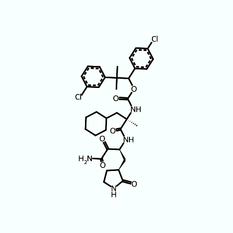 CC(C)(c1cccc(Cl)c1)C(OC(=O)N[C@](C)(CC1CCCCC1)C(=O)N[C@@H](C[C@@H]1CCNC1=O)C(=O)C(N)=O)c1ccc(Cl)cc1